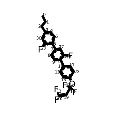 CCCc1ccc(-c2ccc(-c3ccc(OC(F)(F)C=C(F)F)cc3)c(F)c2)c(F)c1